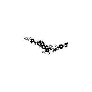 Cc1cn(-c2ccc(C(=O)NC(C)(C)CNC[C@H](O)[C@@]34CC[C@]5(C)[C@H](CC[C@@H]6[C@@]7(C)CC[C@H](OC(=O)[C@H]8C[C@@H](C(=O)O)C8(C)C)C(C)(C)[C@@H]7CC[C@]65C)C3=C(C(C)C)C(=O)C4)cc2)cn1